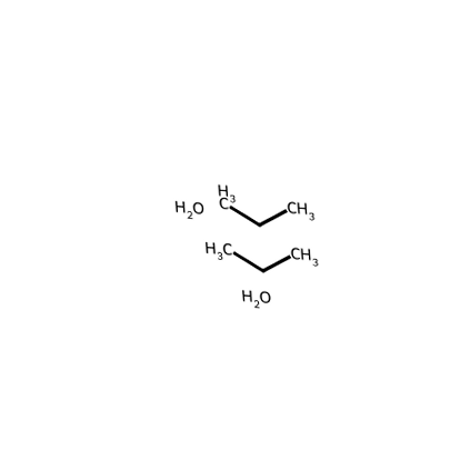 CCC.CCC.O.O